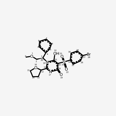 COC[C@@H](c1ccccc1)n1c(C2CCCO2)nc(=O)c(S(=O)(=O)c2ccc(Br)cc2)c1O